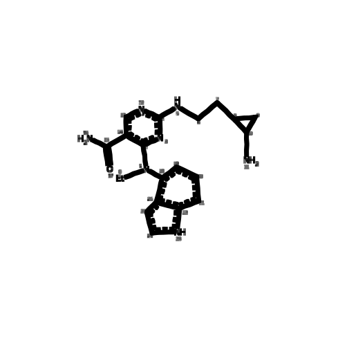 CCN(c1nc(NCCC2CC2N)ncc1C(N)=O)c1cccc2[nH]ccc12